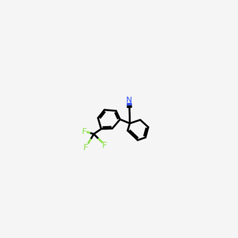 N#CC1(c2cccc(C(F)(F)F)c2)C=CC=CC1